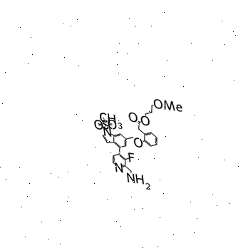 COCCCOC(=O)Cc1ccccc1OCc1cc(-c2ccnc(CN)c2F)c2ccn(S(C)(=O)=O)c2c1